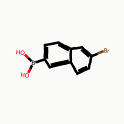 OB(O)c1ccc2cc(Br)ccc2c1